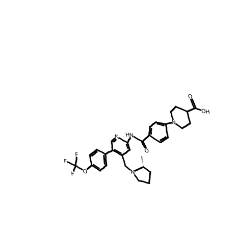 C[C@@H]1CCCN1Cc1cc(NC(=O)c2ccc(N3CCC(C(=O)O)CC3)cc2)ncc1-c1ccc(OC(F)(F)F)cc1